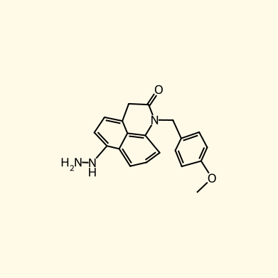 COc1ccc(CN2C(=O)Cc3ccc(NN)c4cccc2c34)cc1